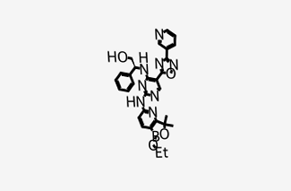 CCOB1OC(C)(C)c2nc(Nc3ncc(-c4nc(-c5cccnc5)no4)c(N[C@H](CO)c4ccccc4)n3)ccc21